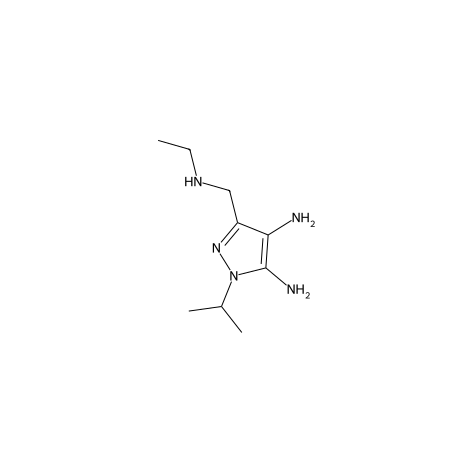 CCNCc1nn(C(C)C)c(N)c1N